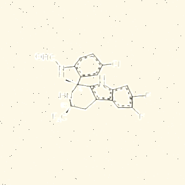 C[C@]1(c2cc(Cl)ccc2NC=O)N[C@H](C(F)(F)F)Cc2c1[nH]c1cc(F)c(F)cc21